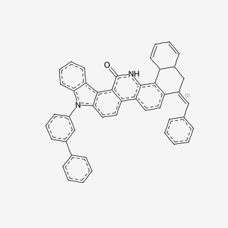 O=c1[nH]c2c3c(ccc2c2ccc4c(c5ccccc5n4-c4cccc(-c5ccccc5)c4)c12)/C(=C\c1ccccc1)CC1C=CC=CC31